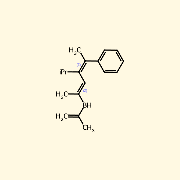 C=C(C)B/C(C)=C/C(=C(/C)c1ccccc1)C(C)C